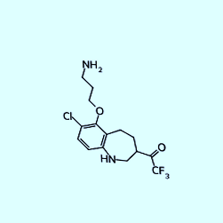 NCCCOc1c(Cl)ccc2c1CCC(C(=O)C(F)(F)F)CN2